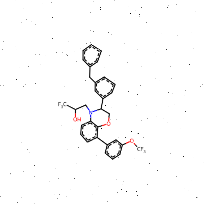 OC(CN1c2cccc(-c3cccc(OC(F)(F)F)c3)c2OCC1c1cccc(Cc2ccccc2)c1)C(F)(F)F